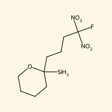 O=[N+]([O-])C(F)(CCCC1([SiH3])CCCCO1)[N+](=O)[O-]